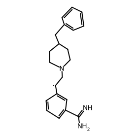 N=C(N)c1cccc([CH]CN2CCC(Cc3ccccc3)CC2)c1